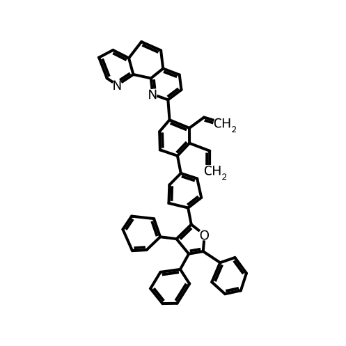 C=Cc1c(-c2ccc(-c3oc(-c4ccccc4)c(-c4ccccc4)c3-c3ccccc3)cc2)ccc(-c2ccc3ccc4cccnc4c3n2)c1C=C